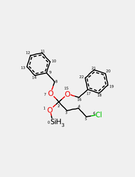 [SiH3]OC(CCCCl)(OCc1ccccc1)OCc1ccccc1